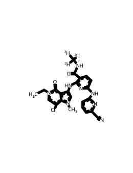 [2H]C([2H])([2H])NC(=O)c1ccc(Nc2cccc(C#N)n2)nc1Nc1cn(C)c2c(Cl)cn(CC)c(=O)c12